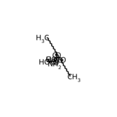 CCCCCCCCCCCCC(=O)OC(COC(=O)CCCCCCCCCCC)COP(=O)(O)OCC(N)C(=O)O